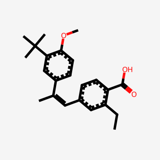 CCc1cc(C=C(C)c2ccc(OC)c(C(C)(C)C)c2)ccc1C(=O)O